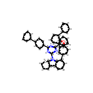 c1ccc(-c2ccc(-c3nc(-c4ccccc4)nc(-n4c5ccccc5c5cccc(-c6ccc7oc8c(-c9ccccc9)cccc8c7c6)c54)n3)cc2)cc1